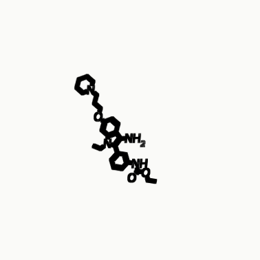 CCOC(=O)Nc1cccc(-c2c(N)c3ccc(OCCCN4CCCCC4)cc3n2CC)c1